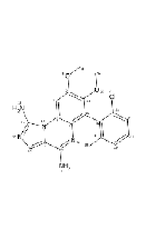 COc1cc2c(nc(N)c3cnc(N)n32)c(-c2c(C)cccc2Cl)c1OC